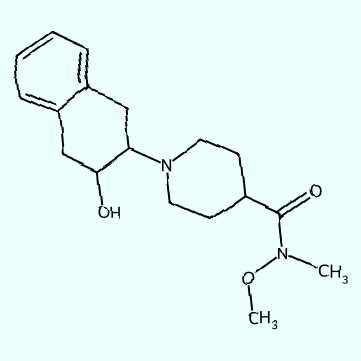 CON(C)C(=O)C1CCN(C2Cc3ccccc3CC2O)CC1